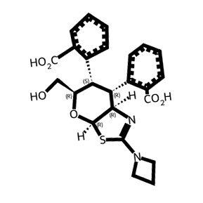 O=C(O)c1ccccc1[C@@H]1[C@H]2N=C(N3CCC3)S[C@H]2O[C@@H](CO)[C@@H]1c1ccccc1C(=O)O